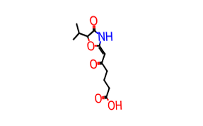 CC(C)C1OC(=CC(=O)CCCC(=O)O)NC1=O